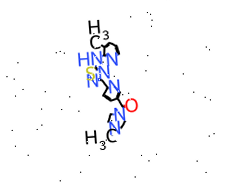 Cc1cccnc1Nc1nc(-c2ccc(C(=O)N3CCN(C)CC3)cn2)ns1